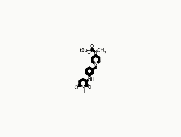 CN(C(=O)OC(C)(C)C)C1CCN(Cc2cccc(NC3CCC(=O)NC3=O)c2)CC1